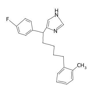 Cc1ccccc1CCCCC(c1ccc(F)cc1)c1c[nH]cn1